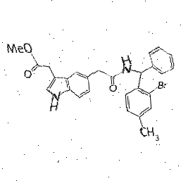 COC(=O)Cc1c[nH]c2ccc(CC(=O)NC(c3ccccc3)c3ccc(C)cc3Br)cc12